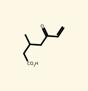 C=CC(=O)CC(C)CC(=O)O